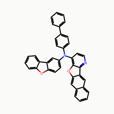 c1ccc(-c2ccc(N(c3ccc4oc5ccccc5c4c3)c3ccnc4c3oc3cc5ccccc5cc34)cc2)cc1